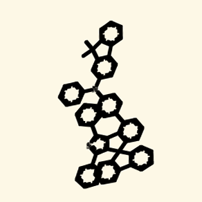 CC1(C)c2ccccc2-c2ccc(N(c3ccccc3)c3ccc(-c4cccc5c4-c4c(-c6ccccc6)sc(-c6ccccc6)c4C54c5ccccc5-c5ccccc54)cc3)cc21